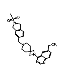 CS(=O)(=O)N1Cc2ccc(CN3CCC4(CC3)CN(c3ncnc5ccc(CC(F)(F)F)cc35)C4)cc2C1